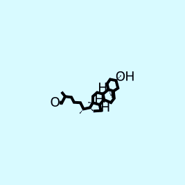 CC(C=O)CCC[C@@H](C)[C@H]1CC[C@H]2[C@@H]3CC=C4C[C@@H](O)CC[C@]4(C)[C@H]3CC[C@]12C